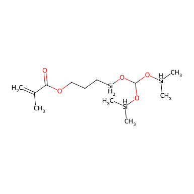 C=C(C)C(=O)OCCC[SiH2]OC(O[SiH](C)C)O[SiH](C)C